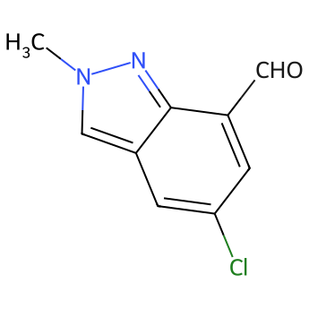 Cn1cc2cc(Cl)cc(C=O)c2n1